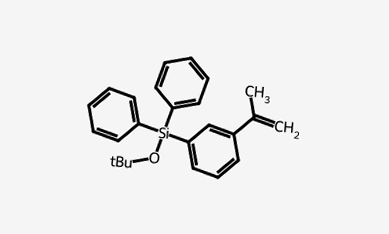 C=C(C)c1cccc([Si](OC(C)(C)C)(c2ccccc2)c2ccccc2)c1